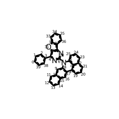 c1ccc(-c2nc(N3c4cc5ccccc5cc4-c4cccc5cccc3c45)nc3c2oc2ccccc23)cc1